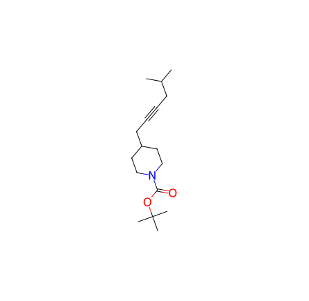 CC(C)CC#CCC1CCN(C(=O)OC(C)(C)C)CC1